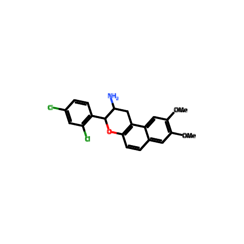 COc1cc2ccc3c(c2cc1OC)CC(N)C(c1ccc(Cl)cc1Cl)O3